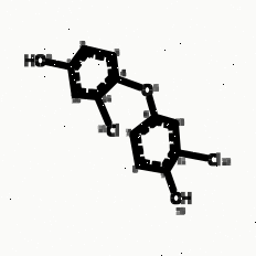 Oc1ccc(Oc2ccc(O)c(Cl)c2)c(Cl)c1